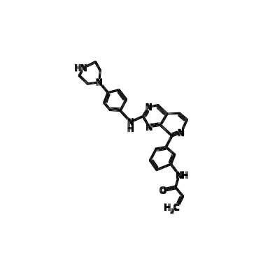 C=CC(=O)Nc1cccc(-c2nccc3cnc(Nc4ccc(N5CCNCC5)cc4)nc23)c1